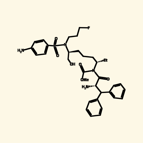 CC[C@@H](CCC[C@@H](CO)N(CCCF)S(=O)(=O)c1ccc(N)cc1)N(C(=O)OC)C(=O)[C@@H](N)C(c1ccccc1)c1ccccc1